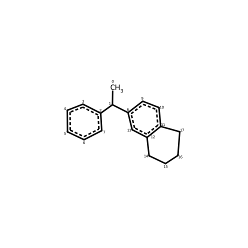 CC(c1ccccc1)c1ccc2c(c1)CCCC2